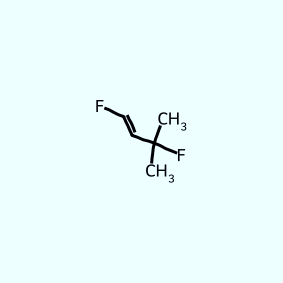 CC(C)(F)/C=C/F